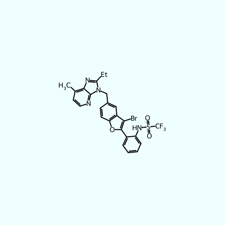 CCc1nc2c(C)ccnc2n1Cc1ccc2oc(-c3ccccc3NS(=O)(=O)C(F)(F)F)c(Br)c2c1